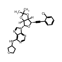 CC1(C)O[C@@H]2[C@H](O1)[C@@H](C#Cc1ccccc1Cl)O[C@H]2n1cnc2c(NC3CCOC3)ncnc21